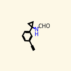 C#Cc1cccc(C2(NC=O)CC2)c1